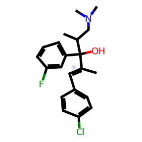 C/C(=C\c1ccc(Cl)cc1)C(O)(c1cccc(F)c1)C(C)CN(C)C